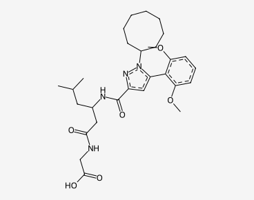 COc1cccc(OC)c1-c1cc(C(=O)NC(CC(=O)NCC(=O)O)CC(C)C)nn1C1CCCCCCC1